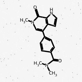 CN(C)C(=O)c1ccc(-c2cn(C)c(=O)c3[nH]ccc23)cc1